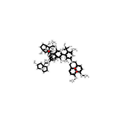 COc1ccc(CN(Cc2ccc(OC)cc2)c2nc(C)c(C(F)(F)F)c(-c3nc4c5c(nc(OC[C@@]67CCCN6C[C@H](F)C7)nc5c3F)N3C[C@H]5CC[C@@H]([C@H]3[C@H](C)O4)N5C(=O)OC(C)(C)C)c2C)cc1